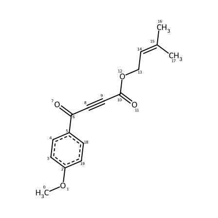 COc1ccc(C(=O)C#CC(=O)OCC=C(C)C)cc1